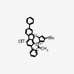 CCC1C=C(C(C)(C)C)C=[C]1[Zr+2](=[C](C)C)[c]1c(-c2ccccc2)ccc2c1Cc1cc(-c3ccccc3)ccc1-2.[Cl-].[Cl-]